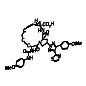 COc1ccc(NC(=O)N[C@H]2CCCCC/C=C\[C@@H]3C[C@@]3(C(=O)O)NC(=O)[C@@H]3C[C@@H](n4nc(-c5ccc(OC)cc5)c(-c5nccs5)n4)CN3C2=O)cc1